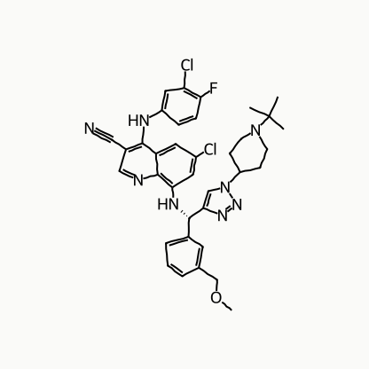 COCc1cccc([C@H](Nc2cc(Cl)cc3c(Nc4ccc(F)c(Cl)c4)c(C#N)cnc23)c2cn(C3CCN(C(C)(C)C)CC3)nn2)c1